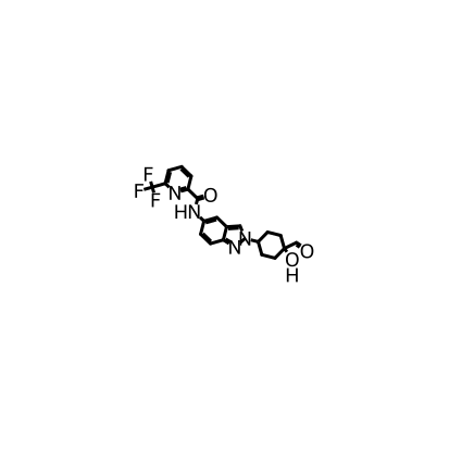 O=CC1(O)CCC(n2cc3cc(NC(=O)c4cccc(C(F)(F)F)n4)ccc3n2)CC1